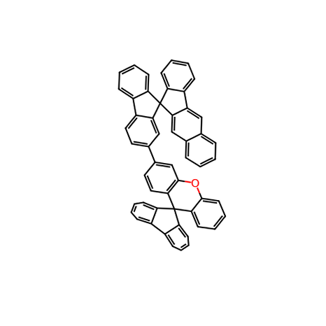 c1ccc2c(c1)Oc1cc(-c3ccc4c(c3)C3(c5ccccc5-4)c4ccccc4-c4cc5ccccc5cc43)ccc1C21c2ccccc2-c2ccccc21